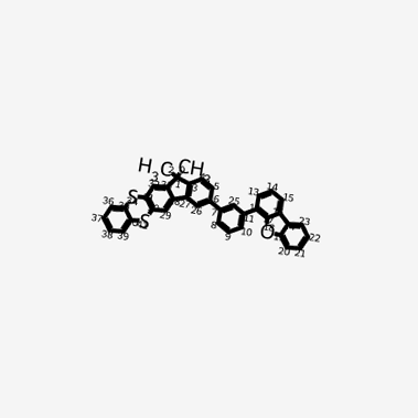 CC1(C)c2ccc(-c3cccc(-c4cccc5c4oc4ccccc45)c3)cc2-c2cc3c(cc21)Sc1ccccc1S3